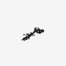 COc1cc2c(cc1OCCCC(=O)Nc1cc(C(=O)Nc3ccc4sc(I)cc4c3)n(C)c1)N=C[C@@H]1Cc3ccccc3CN1C2=O